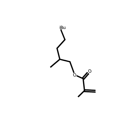 C=C(C)C(=O)OCC(C)CCC(C)CC